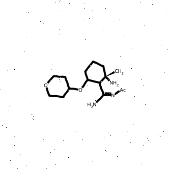 CC(=O)/N=C(/N)C1C(OC2CCOCC2)CCC[C@]1(C)N